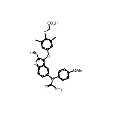 CCCCc1oc2ccc(N(C(N)=O)c3ccc(OC)cc3)cc2c1Oc1cc(I)c(OCC(=O)O)c(I)c1